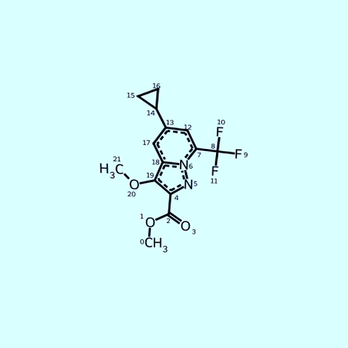 COC(=O)c1nn2c(C(F)(F)F)cc(C3CC3)cc2c1OC